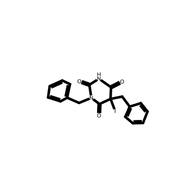 O=C1NC(=O)C(I)(Cc2ccccc2)C(=O)N1Cc1ccccc1